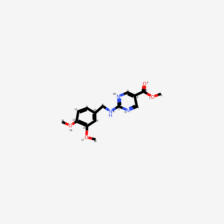 COC(=O)c1cnc(NCc2ccc(OC)c(OC)c2)nc1